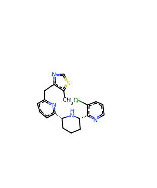 Cc1scnc1Cc1cccc([C@H]2CCC[C@@H](c3ncccc3Cl)N2)n1